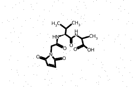 CC(NC(=O)[C@@H](NC(=O)CN1C(=O)C=CC1=O)C(C)C)C(=O)O